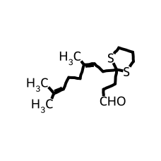 CC(C)=CCC/C(C)=C\CC1(CCC=O)SCCCS1